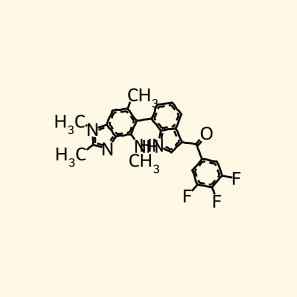 CNc1c(-c2cccc3c(C(=O)c4cc(F)c(F)c(F)c4)c[nH]c23)c(C)cc2c1nc(C)n2C